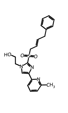 Cc1cccc(-c2cn(CCO)c(S(=O)(=O)CC=CCc3ccccc3)n2)n1